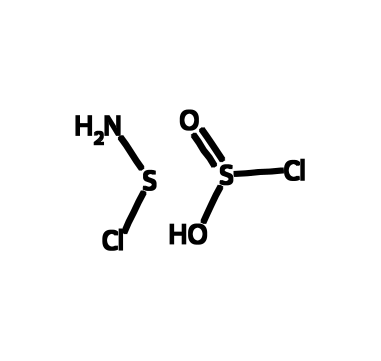 NSCl.O=S(O)Cl